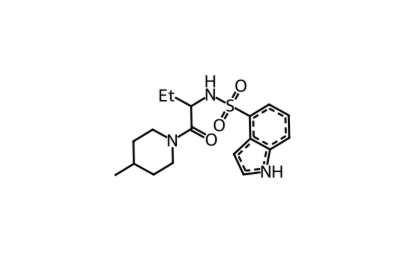 CCC(NS(=O)(=O)c1cccc2[nH]ccc12)C(=O)N1CCC(C)CC1